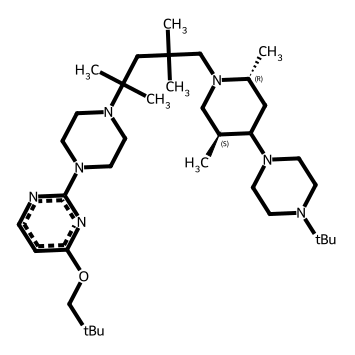 C[C@@H]1CC(N2CCN(C(C)(C)C)CC2)[C@@H](C)CN1CC(C)(C)CC(C)(C)N1CCN(c2nccc(OCC(C)(C)C)n2)CC1